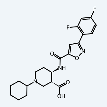 O=C(N[C@@H]1CCN(C2CCCCC2)C[C@H]1C(=O)O)c1cc(-c2ccc(F)cc2F)no1